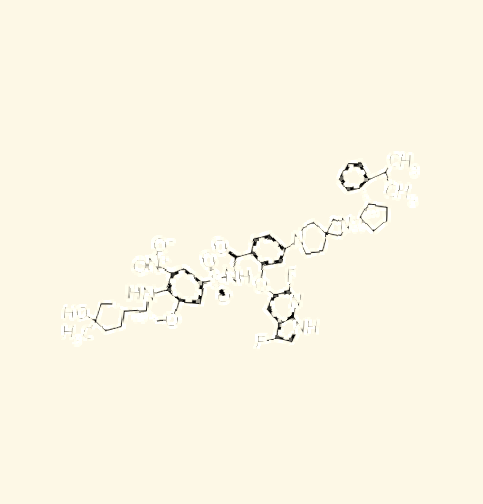 CC(C)c1ccccc1[C@@H]1CCC[C@@H]1N1CC2(CCN(c3ccc(C(=O)NS(=O)(=O)c4cc5c(c([N+](=O)[O-])c4)N[C@@H]([C@H]4CC[C@](C)(O)CC4)CO5)c(Oc4cc5c(F)c[nH]c5nc4F)c3)CC2)C1